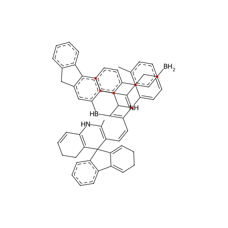 BC1=CC=C(NC2C3=C(/C=C\C4=C(C)NC5=C(CCC=C5)C45C4=CCCC=C4c4ccccc45)C=C(c4ccccc4C)C2c2cc4c(cc2B3)Cc2ccccc2-4)C(c2ccccc2)C1